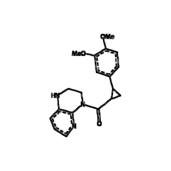 COc1ccc(C2CC2C(=O)N2CCNc3cccnc32)cc1OC